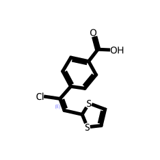 O=C(O)c1ccc(/C(Cl)=C\C2SC=CS2)cc1